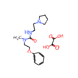 CN(CCOc1ccccc1)C(=O)NCCN1CCCC1.O=C(O)C(=O)O